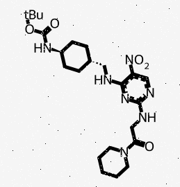 CC(C)(C)OC(=O)N[C@H]1CC[C@H](CNc2nc(NCC(=O)N3CCCCC3)ncc2[N+](=O)[O-])CC1